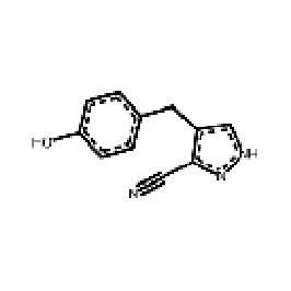 N#Cc1n[nH]cc1Cc1ccc(O)cc1